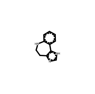 c1ccc2c(c1)NCCc1nc[nH]c1-2